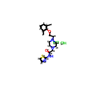 Cc1cccc(C)c1OCCN1CCN(CC(=O)Nc2nccs2)CC1.Cl.Cl